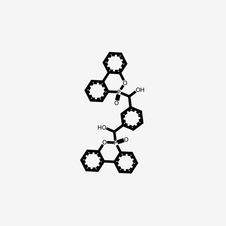 O=P1(C(O)c2cccc(C(O)P3(=O)Oc4ccccc4-c4ccccc43)c2)Oc2ccccc2-c2ccccc21